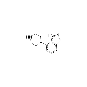 c1cc(C2CCNCC2)c2[nH]ncc2c1